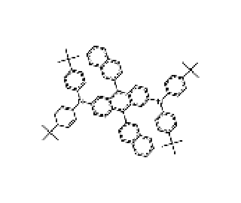 CC(C)(C)c1ccc(N(C2=CCC(C(C)(C)C)C=C2)c2ccc3c(-c4ccc5ccccc5c4)c4cc(N(c5ccc(C(C)(C)C)cc5)c5ccc(C(C)(C)C)cc5)ccc4c(-c4ccc5ccccc5c4)c3c2)cc1